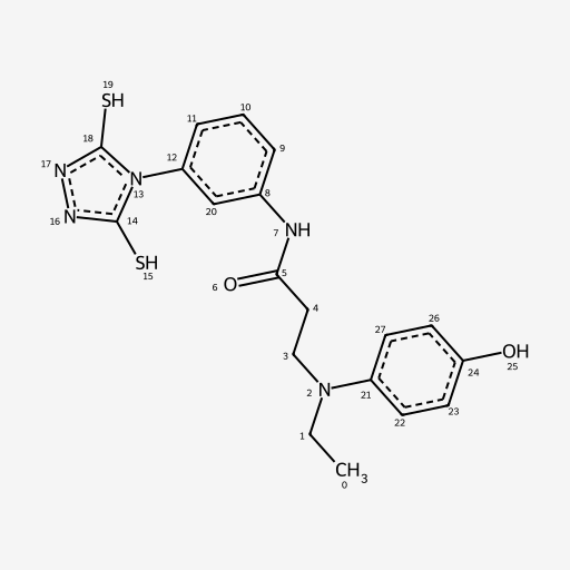 CCN(CCC(=O)Nc1cccc(-n2c(S)nnc2S)c1)c1ccc(O)cc1